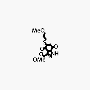 COCCCSC1=CC(=O)c2[nH]nc(C(=O)OC)c2C1=O